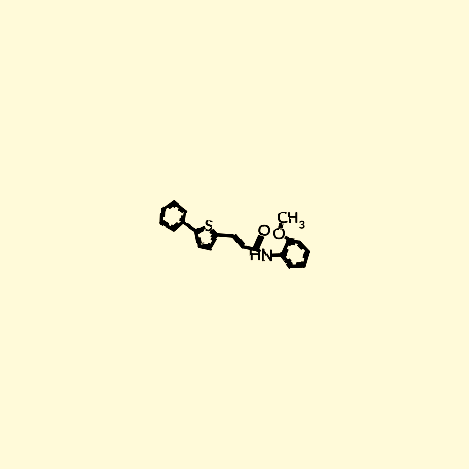 COc1ccccc1NC(=O)/C=C/c1ccc(-c2ccccc2)s1